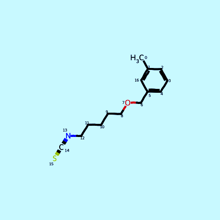 Cc1cccc(COCCCCCN=C=S)c1